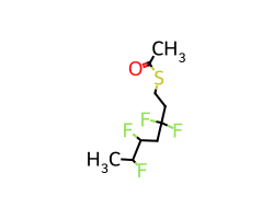 CC(=O)SCCC(F)(F)CC(F)C(C)F